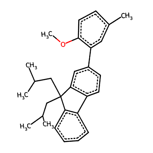 COc1ccc(C)cc1-c1ccc2c(c1)C(CC(C)C)(CC(C)C)c1ccccc1-2